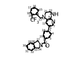 O=C(c1ccc(-c2cnc3c(c2)N(Cc2ccccc2C(F)(F)F)CCN3)cc1)N1Cc2ccccc2C1